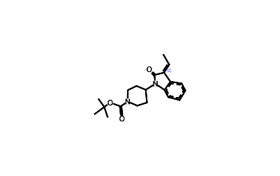 C/C=C1\C(=O)N(C2CCN(C(=O)OC(C)(C)C)CC2)c2ccccc21